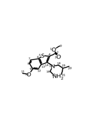 COC(=O)c1sc2ccc(OC)cc2c1N(CN)CC(C)C